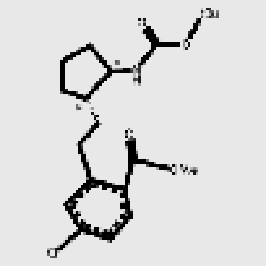 COC(=O)c1ccc(Cl)cc1CC[C@@H]1CCC[C@H]1NC(=O)OC(C)(C)C